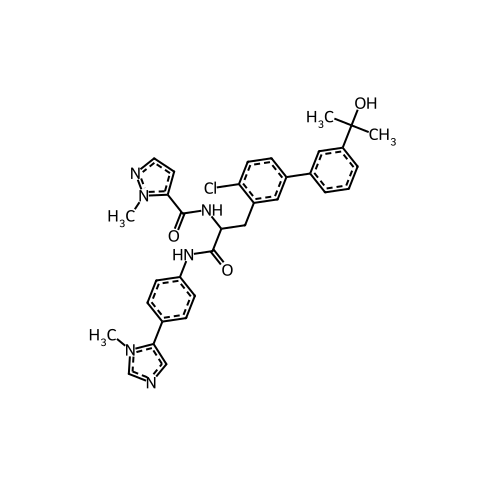 Cn1cncc1-c1ccc(NC(=O)C(Cc2cc(-c3cccc(C(C)(C)O)c3)ccc2Cl)NC(=O)c2ccnn2C)cc1